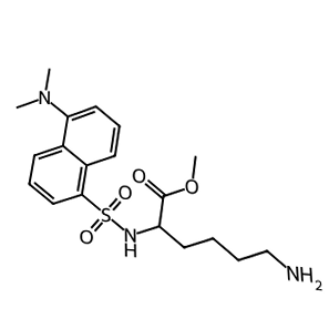 COC(=O)C(CCCCN)NS(=O)(=O)c1cccc2c(N(C)C)cccc12